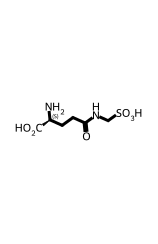 N[C@@H](CCC(=O)NCS(=O)(=O)O)C(=O)O